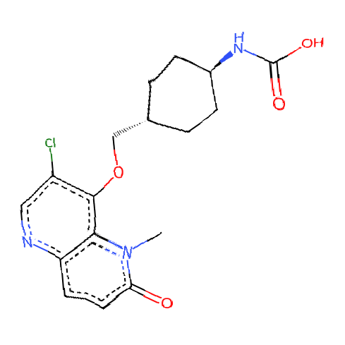 Cn1c(=O)ccc2ncc(Cl)c(OC[C@H]3CC[C@H](NC(=O)O)CC3)c21